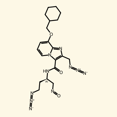 [N-]=[N+]=NCC[C@H](CN=O)NC(=O)c1c(CN=[N+]=[N-])nc2c(OCC3CCCCC3)cccn12